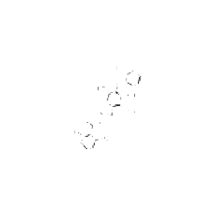 Cc1ccccc1Oc1c(C)cc(NC(=O)NC(=O)c2c(Cl)cccc2Cl)c(C)c1C